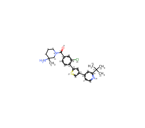 CC1(N)CCCN(C(=O)c2ccc(-c3cc(-c4ccnc(C(C)(C)C)c4)cs3)c(Cl)c2)C1